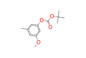 COc1cc(C)cc(OC(=O)OC(C)(C)C)c1